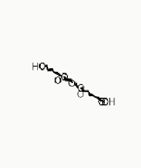 O=C(CCCCCO)OCCOCCOC(=O)CCCCCOO